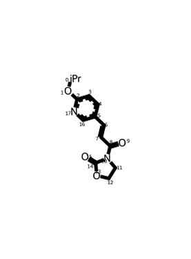 CC(C)Oc1ccc(/C=C/C(=O)N2CCOC2=O)cn1